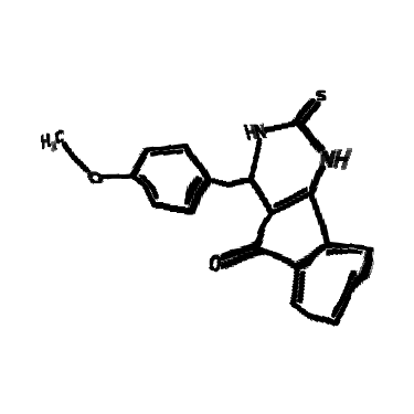 COc1ccc(C2NC(=S)NC3=C2C(=O)c2ccccc23)cc1